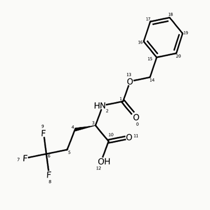 O=C(N[C@H](CCC(F)(F)F)C(=O)O)OCc1ccccc1